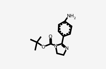 CC(C)(C)OC(=O)N1CCN=C1c1ccc(N)cc1